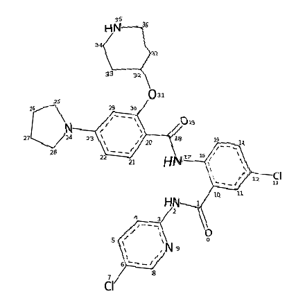 O=C(Nc1ccc(Cl)cn1)c1cc(Cl)ccc1NC(=O)c1ccc(N2CCCC2)cc1OC1CCNCC1